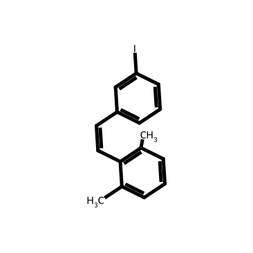 Cc1cccc(C)c1/C=C\c1cccc(I)c1